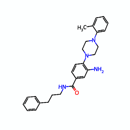 Cc1ccccc1N1CCN(c2ccc(C(=O)NCCCc3ccccc3)cc2N)CC1